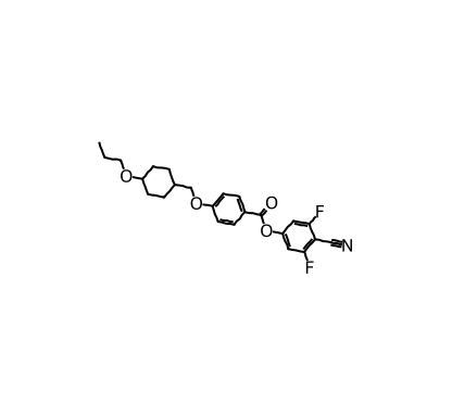 CCCOC1CCC(COc2ccc(C(=O)Oc3cc(F)c(C#N)c(F)c3)cc2)CC1